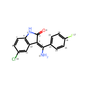 N/C(=C1/C(=O)Nc2ccc(Cl)cc21)c1ccc(F)cc1